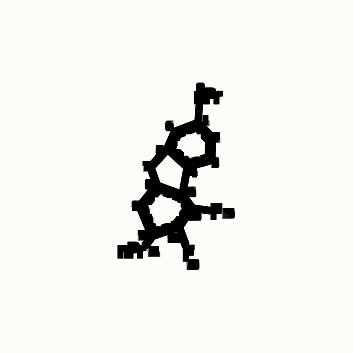 CCCc1ccc2c(c1)Cc1cc(CCC)c(F)c(F)c1-2